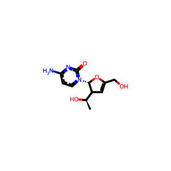 C[C@@H](O)C1C=C(CO)O[C@H]1n1ccc(N)nc1=O